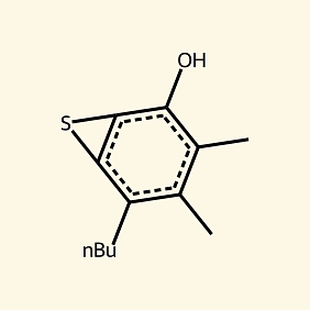 CCCCc1c(C)c(C)c(O)c2c1S2